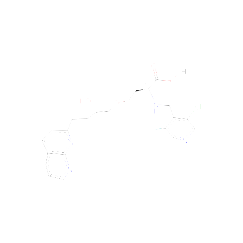 COC(=O)[C@H](CCOC[C@@H](O)CCc1ccc2cccnc2n1)NCc1c(F)cncc1Cl